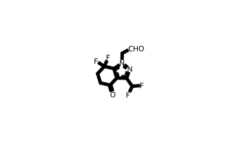 O=CCn1nc(C(F)F)c2c1C(F)(F)CCC2=O